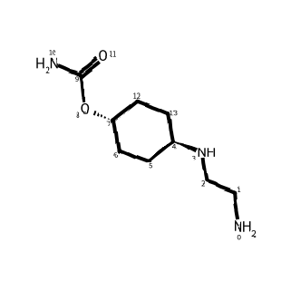 NCCN[C@H]1CC[C@H](OC(N)=O)CC1